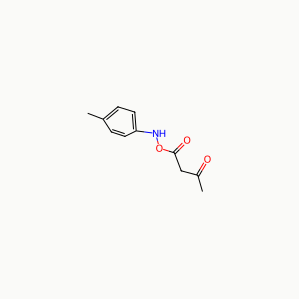 CC(=O)CC(=O)ONc1ccc(C)cc1